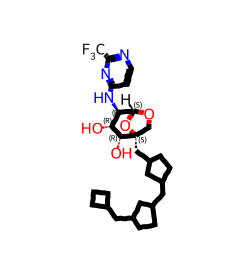 O[C@@H]1[C@@H](Nc2ccnc(C(F)(F)F)n2)[C@H]2OC[C@](CC3CCC(CC4CCC(CC5CCC5)C4)C3)(O2)[C@@H]1O